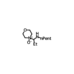 CCCCCNC(CC)[N+]1([O-])CCOCC1